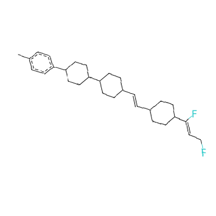 Cc1ccc(C2CCC(C3CCC(/C=C/C4CCC(/C(F)=C/CF)CC4)CC3)CC2)cc1